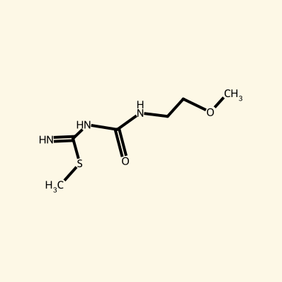 COCCNC(=O)NC(=N)SC